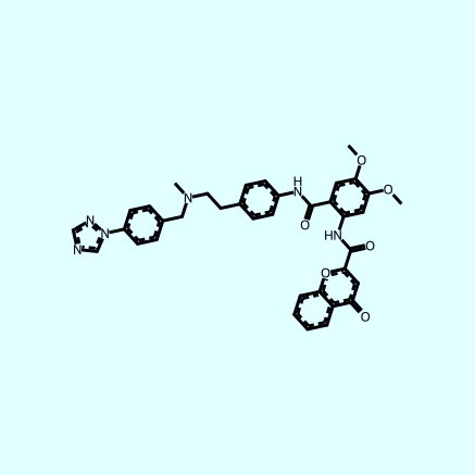 COc1cc(NC(=O)c2cc(=O)c3ccccc3o2)c(C(=O)Nc2ccc(CCN(C)Cc3ccc(-n4cncn4)cc3)cc2)cc1OC